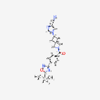 CC(C)(C)c1nc(-c2ccc(C(=O)N3CC4(CC(n5cnc(C#N)c5)C4)C3)cc2)no1